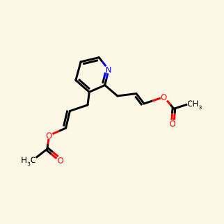 CC(=O)OC=CCc1cccnc1CC=COC(C)=O